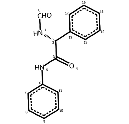 O=CN[C@@H](C(=O)Nc1ccccc1)c1ccccc1